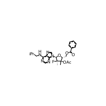 CC(=O)O[C@]1(C)[C@@H](COC(=O)c2ccccc2)O[C@H](n2cnc3c(NCC(C)C)ncnc32)[C@]1(C)F